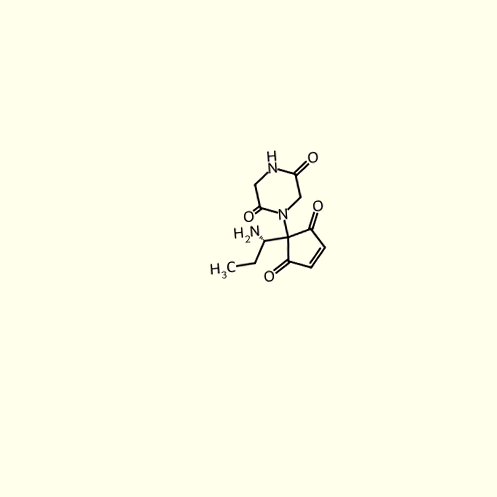 CC[C@H](N)C1(N2CC(=O)NCC2=O)C(=O)C=CC1=O